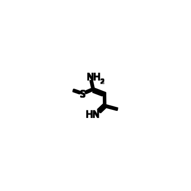 CS/C(N)=C\C(C)=N